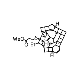 CCC1C2=C3CC4[C@@H]5C=CC6C7C8C9CC%10C%11[C@@H]%12CC%13C%14=C%12[C@]%11%12C%11=C%15[C@@H](C%16=C%11[C@@]%14%11C%13CC%11C%11%13CCC%11[C@]1(SCCC(=O)OC)[C@]2%16%13)[C@]34C5C6[C@@]%157C8C9%10%12